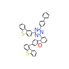 C1=CC2Oc3cc(-c4cccc5sc6ccccc6c45)ccc3C2C(c2nc(-c3ccc(-c4ccccc4)cc3)nc(-c3ccc4sc5ccccc5c4c3)n2)=C1